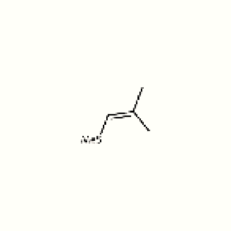 [CH2]SC=C(C)C